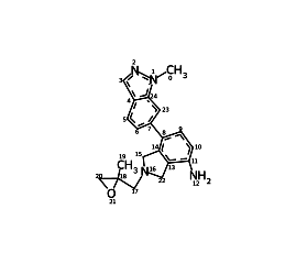 Cn1ncc2ccc(-c3ccc(N)c4c3CN(CC3(C)CO3)C4)cc21